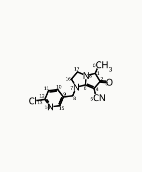 CC1C(=O)C(C#N)=C2N(Cc3ccc(Cl)nc3)CCN21